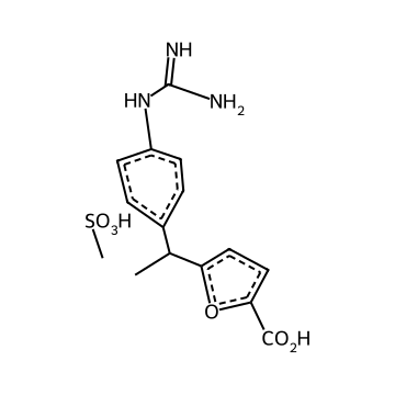 CC(c1ccc(NC(=N)N)cc1)c1ccc(C(=O)O)o1.CS(=O)(=O)O